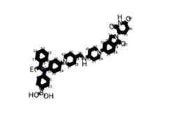 CC/C(=C(\c1ccc(B(O)O)cc1)c1ccc(N2CCC(CNC3CCN(c4ccc5c(c4)CN(C4CCC(=O)NC4=O)C5=O)CC3)CC2)cc1)c1ccccc1